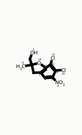 CC1(CO)Cc2cc([N+](=O)[O-])c(Cl)c(Cl)c2O1